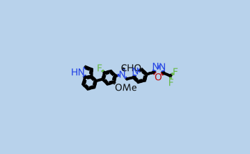 COc1cc(-c2cccc3[nH]ccc23)c(F)cc1N(C=O)Cc1ccc(-c2nnc(C(F)F)o2)cn1